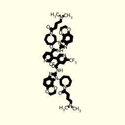 CN(C)C/C=C/C(=O)N1CCCC[C@@H](n2c(NC(=O)c3cc(C(F)(F)F)ncc3-c3c(C(=O)Nc4nc5ccc6c(c5n4[C@@H]4CCCCN(C(=O)/C=C/CN(C)C)C4)OCCO6)ccnc3C(F)(F)F)nc3ccc4c(c32)OCCO4)C1